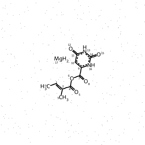 CC=C(C)C(=O)OC(=O)c1cc(=O)[nH]c(=O)[nH]1.[MgH2]